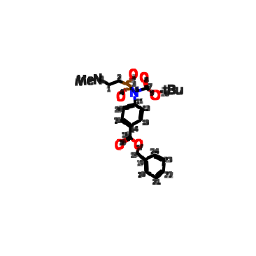 CNCCS(=O)(=O)N(C(=O)OC(C)(C)C)c1ccc(C(=O)OCc2ccccc2)cc1